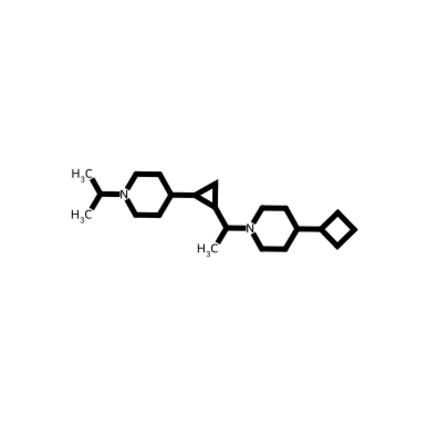 CC(C)N1CCC(C2CC2C(C)N2CCC(C3CCC3)CC2)CC1